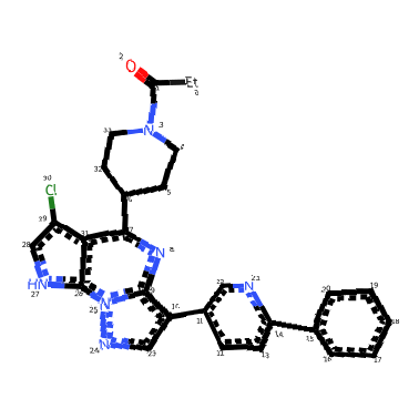 CCC(=O)N1CCC(c2nc3c(-c4ccc(-c5ccccc5)nc4)cnn3c3[nH]cc(Cl)c23)CC1